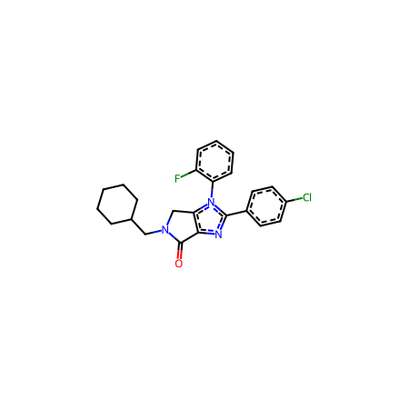 O=C1c2nc(-c3ccc(Cl)cc3)n(-c3ccccc3F)c2CN1CC1CCCCC1